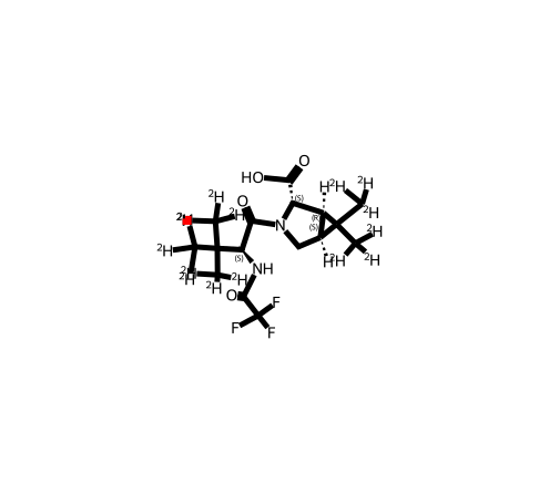 [2H]C([2H])([2H])C1(C([2H])([2H])[2H])[C@@H]2[C@@H](C(=O)O)N(C(=O)[C@@H](NC(=O)C(F)(F)F)C(C([2H])([2H])[2H])(C([2H])([2H])[2H])C([2H])([2H])[2H])C[C@@H]21